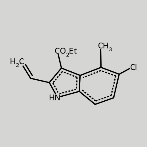 C=Cc1[nH]c2ccc(Cl)c(C)c2c1C(=O)OCC